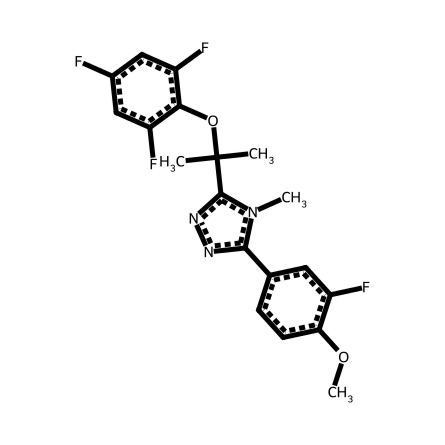 COc1ccc(-c2nnc(C(C)(C)Oc3c(F)cc(F)cc3F)n2C)cc1F